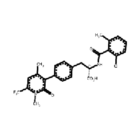 Cc1cccc(Cl)c1C(=O)N[C@@H](Cc1ccc(-c2c(C)cc(C(F)(F)F)n(C)c2=O)cc1)C(=O)O